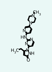 CCc1cc(=O)[nH]n1-c1ccnc(Nc2ccc(N3CCN(C)CC3)cn2)n1